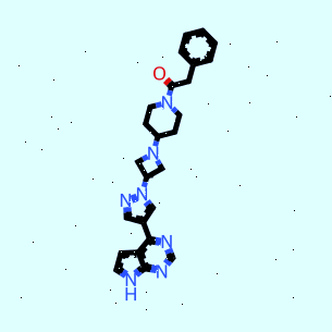 O=C(Cc1ccccc1)N1CCC(N2C[C](n3cc(-c4ncnc5[nH]ccc45)cn3)C2)CC1